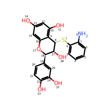 Nc1ccccc1S[C@H]1c2c(O)cc(O)cc2O[C@H](c2ccc(O)c(O)c2)[C@@H]1O